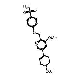 COc1cc(C2=CCN(C(=O)O)CC2)cnc1COc1ccc(S(C)(=O)=O)cc1